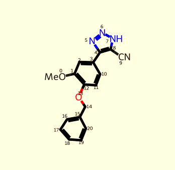 COc1cc(-c2nn[nH]c2C#N)ccc1OCc1ccccc1